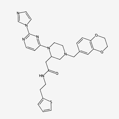 O=C(CC1CN(Cc2ccc3c(c2)OCCO3)CCN1c1ccnc(-n2ccnc2)n1)NCCc1cccs1